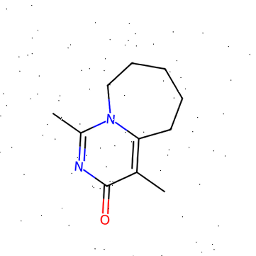 Cc1c2n(c(C)nc1=O)CCCCC2